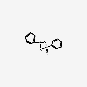 S=P1(c2ccccc2)SP(c2ccccc2)S1